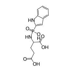 O=C(O)CCC(NP(=O)(O)c1cc2ccccc2[nH]1)C(=O)O